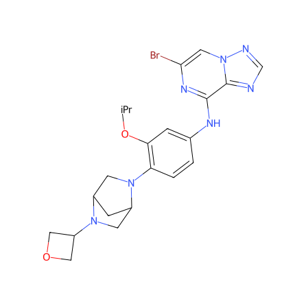 CC(C)Oc1cc(Nc2nc(Br)cn3ncnc23)ccc1N1CC2CC1CN2C1COC1